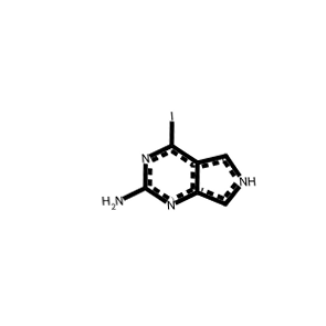 Nc1nc(I)c2c[nH]cc2n1